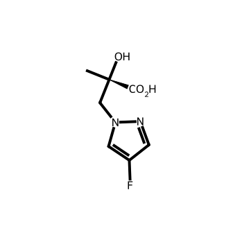 C[C@](O)(Cn1cc(F)cn1)C(=O)O